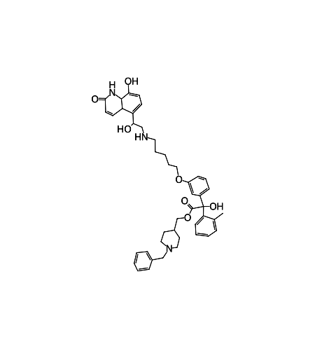 Cc1ccccc1C(O)(C(=O)OCC1CCN(Cc2ccccc2)CC1)c1cccc(OCCCCCNCC(O)C2=CC=C(O)C3NC(=O)C=CC23)c1